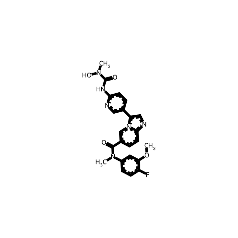 COc1cc(N(C)C(=O)c2ccc3ncc(-c4ccc(NC(=O)N(C)O)nc4)n3c2)ccc1F